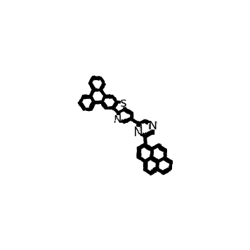 c1cc2ccc3ccc(-c4cncc(-c5cnc6c(c5)sc5cc7c8ccccc8c8ccccc8c7cc56)n4)c4ccc(c1)c2c34